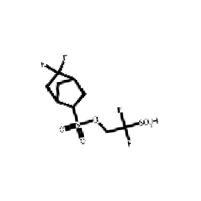 O=S(=O)(OCC(F)(F)S(=O)(=O)O)C1CC2CC1CC2(F)F